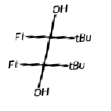 CCC(O)(C(C)(C)C)C(O)(CC)C(C)(C)C